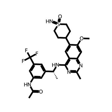 COc1cc2nc(C)nc(N[C@H](C)c3cc(NC(C)=O)cc(C(F)(F)F)c3)c2cc1C1CCS(=N)(=O)CC1